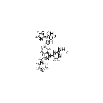 CC(O)(C#Cc1ccc2c(CN3CCOCC3)nn(-c3ccnc(N)n3)c2c1)c1nccs1